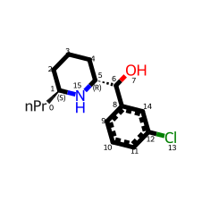 CCC[C@H]1CCC[C@H](C(O)c2cccc(Cl)c2)N1